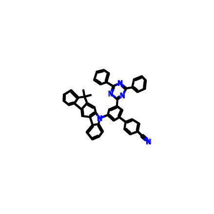 CC1(C)c2ccccc2-c2cc3c4ccccc4n(-c4cc(-c5ccc(C#N)cc5)cc(-c5nc(-c6ccccc6)nc(-c6ccccc6)n5)c4)c3cc21